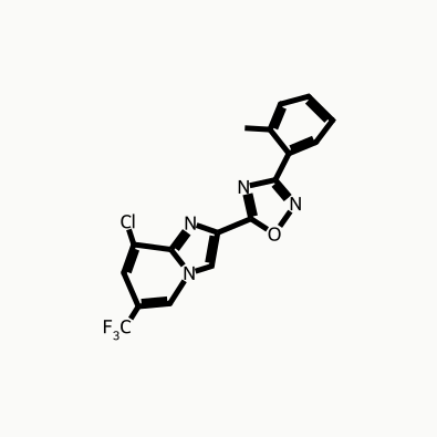 Cc1ccccc1-c1noc(-c2cn3cc(C(F)(F)F)cc(Cl)c3n2)n1